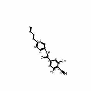 C=CCCc1ccc(OC(=O)c2cc(F)c(C#N)c(F)c2)cc1